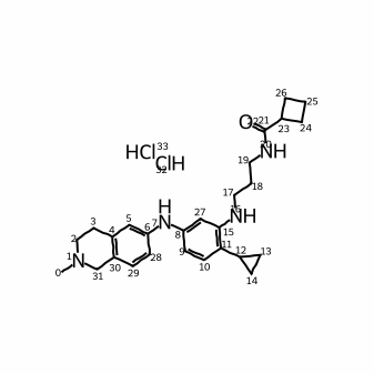 CN1CCc2cc(Nc3ccc(C4CC4)c(NCCCNC(=O)C4CCC4)c3)ccc2C1.Cl.Cl